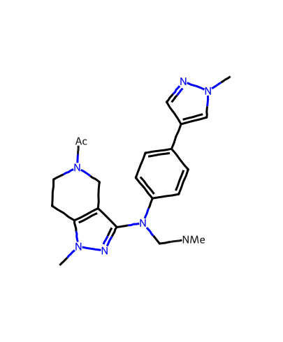 CNCN(c1ccc(-c2cnn(C)c2)cc1)c1nn(C)c2c1CN(C(C)=O)CC2